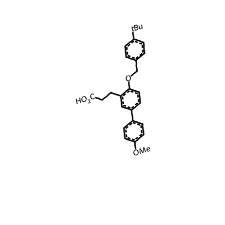 COc1ccc(-c2ccc(OCc3ccc(C(C)(C)C)cc3)c(CCC(=O)O)c2)cc1